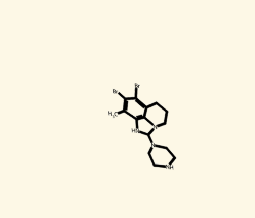 Cc1c(Br)c(Br)c2c3c1NC(N1CCNCC1)N3CCC2